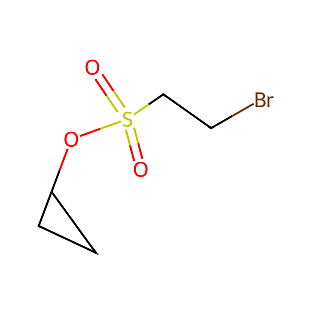 O=S(=O)(CCBr)OC1CC1